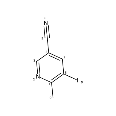 Cc1ncc(C#N)cc1I